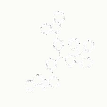 c1ccc(C2(c3ccccc3)c3ccccc3-c3ccc(N(c4ccc(-c5cc6ccccc6c6ccccc56)cc4)c4cccc(-c5cccc6oc7c8ccccc8ccc7c56)c4)cc32)cc1